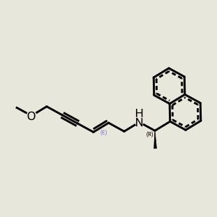 COCC#C/C=C/CN[C@H](C)c1cccc2ccccc12